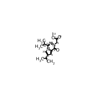 C=C(C)c1cc2c(=O)n(CC(=O)OI)nc(C(C)C)n2c1